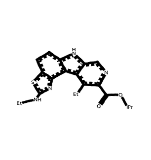 CCNc1nc2c(ccc3[nH]c4cnc(C(=O)OC(C)C)c(CC)c4c32)s1